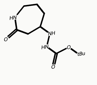 CC(C)(C)OC(=O)NNC1CCCNC(=O)C1